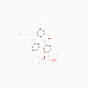 COc1cc2c(cc1OC(C)C)[C@H](c1ccc(Cl)cc1)N(c1ccc(C(C)(O)C3CC4CCCC(C3)N4C(=O)CO)cc1)C(=O)C2